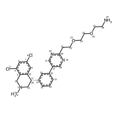 CN1Cc2c(Cl)cc(Cl)cc2[C@H](c2cccc(-c3cnc(CCOCCOCCN)nc3)c2)C1